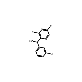 OC(c1cccc(Cl)c1)c1ncc(Cl)nc1Cl